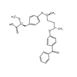 CO[C@@H](Cc1ccc(O[C@@H](C)CC[C@H](C)Oc2ccc(C(=O)c3ccccc3)cc2)cc1)C(=O)O